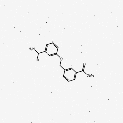 COC(=O)c1cccc(COc2cncc(C(N)O)c2)c1